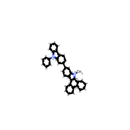 Cn1c2cc(-c3ccc4c5ccccc5n(-c5ccccc5)c4c3)ccc2c2c3ccccc3c3ccccc3c21